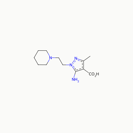 Cc1nn(CCN2CCCCC2)c(N)c1C(=O)O